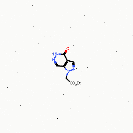 CCOC(=O)Cn1ncc2c(=O)[nH]ncc21